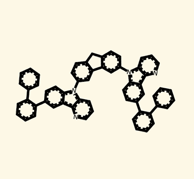 c1ccc(-c2ccccc2-c2ccc3c(c2)c2ncccc2n3-c2ccc3c(c2)-c2cc(-n4c5ccc(-c6ccccc6-c6ccccc6)cc5c5ncccc54)ccc2C3)cc1